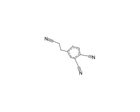 N#CCCc1[c]cc(C#N)c(C#N)c1